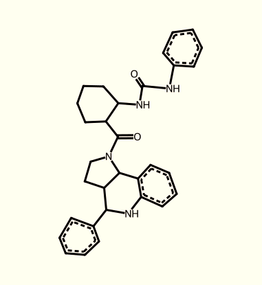 O=C(Nc1ccccc1)NC1CCCCC1C(=O)N1CCC2C(c3ccccc3)Nc3ccccc3C21